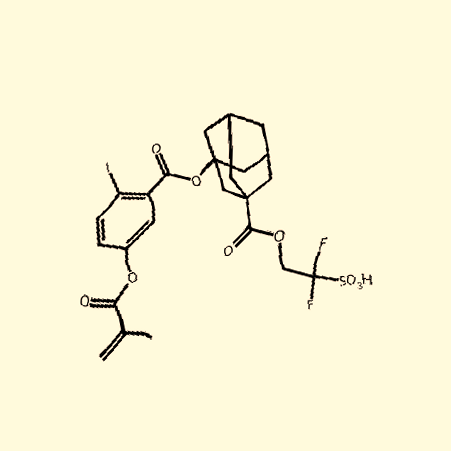 C=C(C)C(=O)Oc1ccc(I)c(C(=O)OC23CC4CC(C2)CC(C(=O)OCC(F)(F)S(=O)(=O)O)(C4)C3)c1